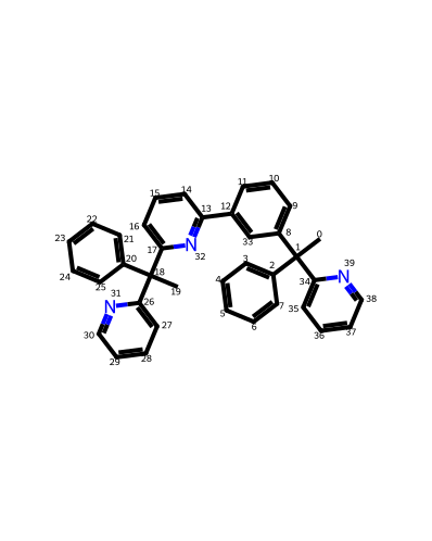 CC(c1ccccc1)(c1cccc(-c2cccc(C(C)(c3ccccc3)c3ccccn3)n2)c1)c1ccccn1